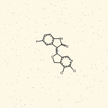 O=C1Nc2ccc(F)cc2/C1=C1\OCc2c1cnc(Cl)c2Cl